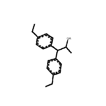 CCc1ccc(C(c2ccc(CC)cc2)C(C)O)cc1